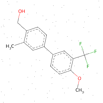 COc1ccc(-c2ccc(CO)c(C)c2)cc1C(F)(F)F